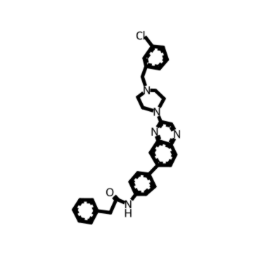 O=C(Cc1ccccc1)Nc1ccc(-c2ccc3ncc(N4CCN(Cc5cccc(Cl)c5)CC4)nc3c2)cc1